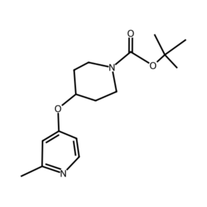 Cc1cc(OC2CCN(C(=O)OC(C)(C)C)CC2)ccn1